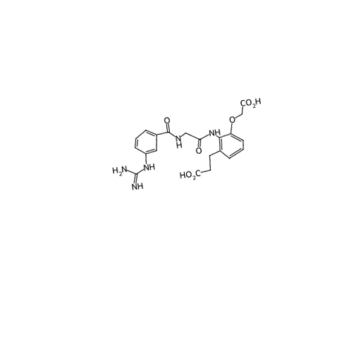 N=C(N)Nc1cccc(C(=O)NCC(=O)Nc2c(CCC(=O)O)cccc2OCC(=O)O)c1